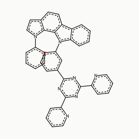 c1ccc(-n2ccc3ccc4c5ccccc5n(-c5cccc(-c6nc(-c7ccccn7)nc(-c7ccccn7)n6)c5)c4c32)cc1